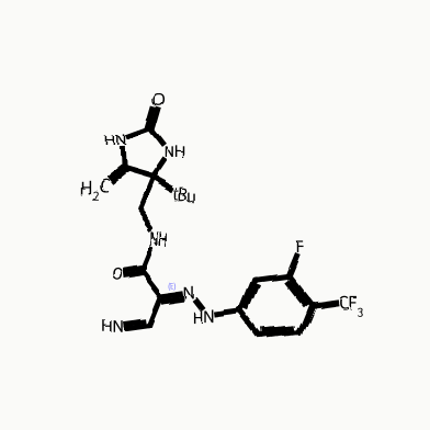 C=C1NC(=O)NC1(CNC(=O)/C(C=N)=N/Nc1ccc(C(F)(F)F)c(F)c1)C(C)(C)C